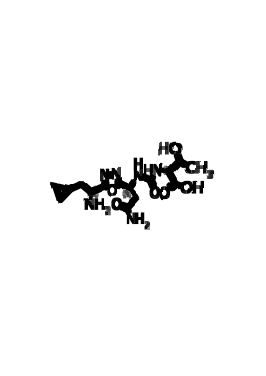 CC(O)[C@H](NC(=O)N[C@@H](CC(N)=O)c1nnc([C@H](N)CC2CC2)o1)C(=O)O